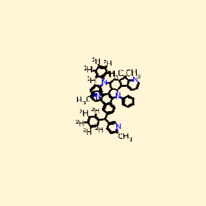 [2H]c1c([2H])c([2H])c(C(c2ccc(C)nc2)c2ccc3c4c(c5ccccc5c3c2)C2C(N(c3ccc(C)nc3)c3c([2H])c([2H])c([2H])c([2H])c3[2H])CC3C(c5cccnc5C3(C)C)C2N4c2ccccc2)c([2H])c1[2H]